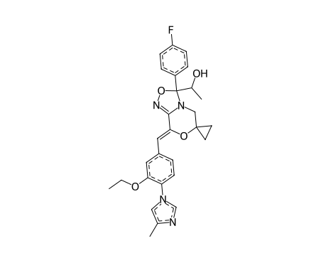 CCOc1cc(/C=C2\OC3(CC3)CN3C2=NOC3(c2ccc(F)cc2)C(C)O)ccc1-n1cnc(C)c1